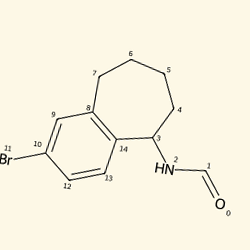 O=CNC1CCCCc2cc(Br)ccc21